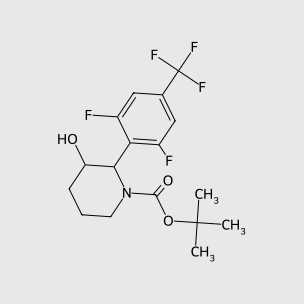 CC(C)(C)OC(=O)N1CCCC(O)C1c1c(F)cc(C(F)(F)F)cc1F